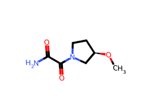 CO[C@@H]1CCN(C(=O)C(N)=O)C1